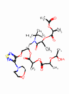 CC(=O)OC(C)C(=O)OC(C)C(=O)N(C[C@@H](COc1nsnc1N1CCOCC1)OC(=O)C(C)OC(=O)C(C)OC(C)O)C(C)(C)C